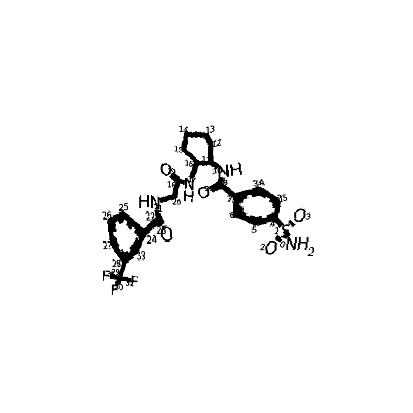 NS(=O)(=O)c1ccc(C(=O)NC2CCCCC2NC(=O)CNC(=O)c2cccc(C(F)(F)F)c2)cc1